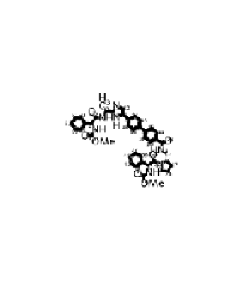 COC(=O)N[C@@H](C(=O)N[C@@H](C)c1ncc(-c2ccc(-c3ccc(C(=O)NC[C@@H]4CCCN4C(=O)[C@H](NC(=O)OC)c4ccccc4)cc3)cc2)[nH]1)c1ccccc1